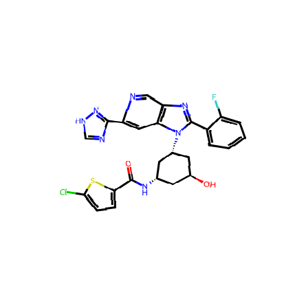 O=C(N[C@H]1C[C@H](O)C[C@@H](n2c(-c3ccccc3F)nc3cnc(-c4nc[nH]n4)cc32)C1)c1ccc(Cl)s1